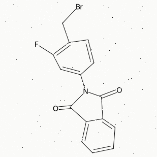 O=C1c2ccccc2C(=O)N1c1ccc(CBr)c(F)c1